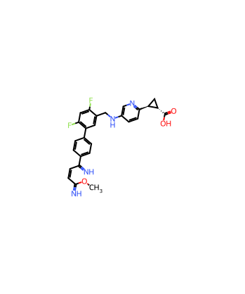 COC(=N)/C=C\C(=N)c1ccc(-c2cc(CNc3ccc([C@H]4C[C@@H]4C(=O)O)nc3)c(F)cc2F)cc1